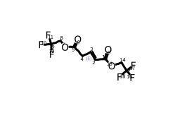 O=C(/C=C/CC(=O)OCC(F)(F)F)OCC(F)(F)F